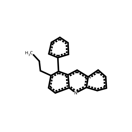 CCCc1ccc2nc3ccccc3cc2c1-c1ccccc1